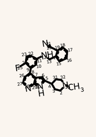 CN1CCC(c2cc3c(-c4cc(NCc5ccccc5C#N)ccc4F)ccnc3[nH]2)CC1